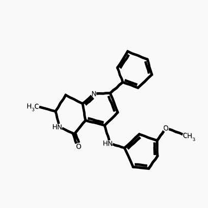 COc1cccc(Nc2cc(-c3ccccc3)nc3c2C(=O)NC(C)C3)c1